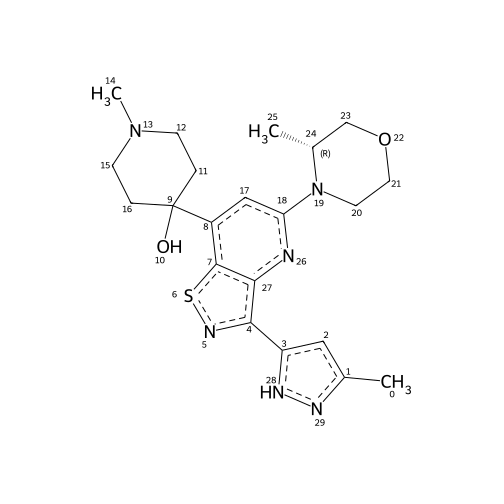 Cc1cc(-c2nsc3c(C4(O)CCN(C)CC4)cc(N4CCOC[C@H]4C)nc23)[nH]n1